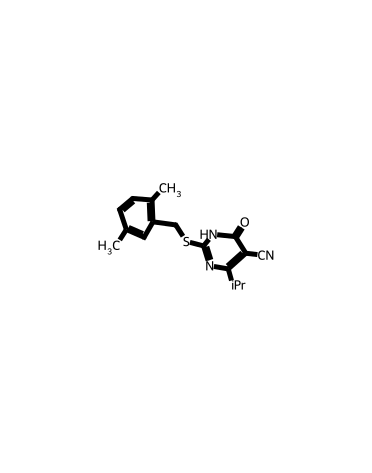 Cc1ccc(C)c(CSc2nc(C(C)C)c(C#N)c(=O)[nH]2)c1